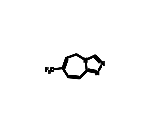 FC(F)(F)C1=CCn2cnnc2C=C1